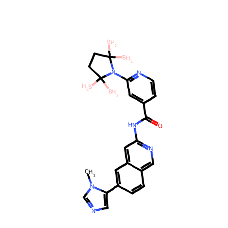 BC1(B)CCC(B)(B)N1c1cc(C(=O)Nc2cc3cc(-c4cncn4C)ccc3cn2)ccn1